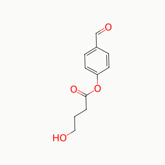 O=Cc1ccc(OC(=O)CCCO)cc1